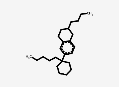 CCCCCC1(c2ccc3c(c2)CCC(CCCC)C3)CCCCC1